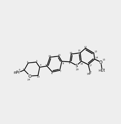 CCCC1CCC(c2ccc(-c3cc4ccc(OCC)c(F)c4s3)cc2)CO1